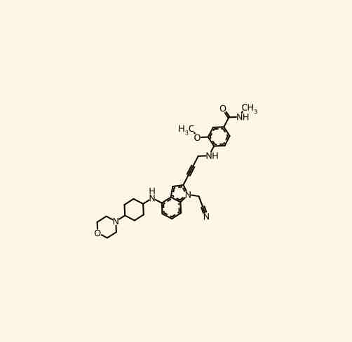 CNC(=O)c1ccc(NCC#Cc2cc3c(NC4CCC(N5CCOCC5)CC4)cccc3n2CC#N)c(OC)c1